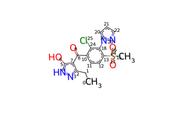 CCc1n[nH]c(O)c1C(=O)c1ccc(S(C)(=O)=O)c(-n2cccn2)c1Cl